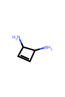 NC1C=CC1N